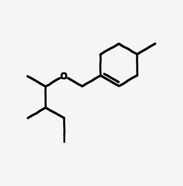 CC1CC=C(COC(C)C(C)CI)CC1